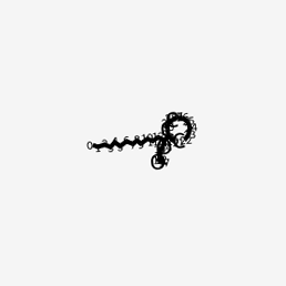 CCCCCCCCCCCCCC(OCC1CO1)C1CCCCCCCCCCC1